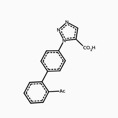 CC(=O)c1ccccc1-c1ccc(-n2nncc2C(=O)O)cc1